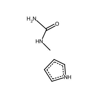 CNC(N)=O.c1cc[nH]c1